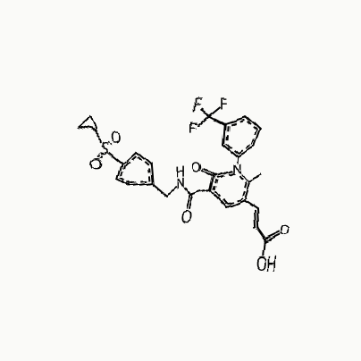 Cc1c(C=CC(=O)O)cc(C(=O)NCc2ccc(S(=O)(=O)C3CC3)cc2)c(=O)n1-c1cccc(C(F)(F)F)c1